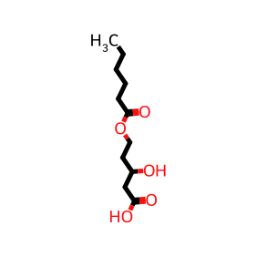 CCCCCC(=O)OCCC(O)CC(=O)O